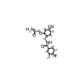 Cc1cc(C(=O)NCc2ccc(C#N)cc2OCC(N)=O)ccc1F